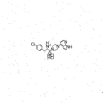 Cl.Cl.NC(Cc1ccc(Cl)cc1)C(=O)N1CCN(c2ccnc3[nH]ccc23)CC1